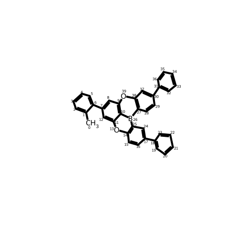 Cc1ccccc1-c1cc2c3c(c1)Oc1ccc(-c4ccccc4)cc1B3c1ccc(-c3ccccc3)cc1O2